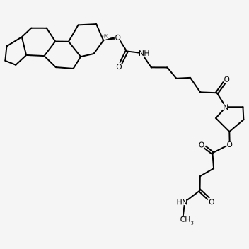 CNC(=O)CCC(=O)OC1CCN(C(=O)CCCCCNC(=O)O[C@@H]2CCC3C(CCC4C5CCCC5CCC34)C2)C1